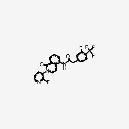 O=C(Cc1ccc(C(F)(F)F)c(F)c1)Nc1cccc2c(=O)n(-c3cccnc3F)ccc12